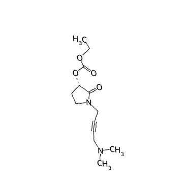 CCOC(=O)O[C@H]1CCN(CC#CCN(C)C)C1=O